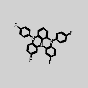 Fc1ccc(N2c3ccc(F)cc3B3c4cc(F)ccc4N(c4ccc(F)cc4)c4cccc2c43)cc1